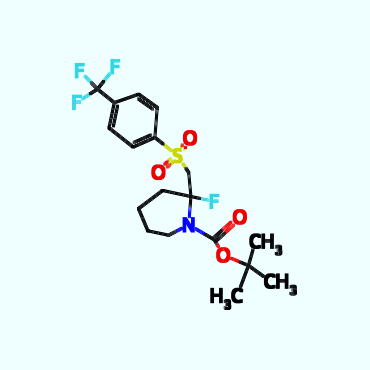 CC(C)(C)OC(=O)N1CCCCC1(F)CS(=O)(=O)c1ccc(C(F)(F)F)cc1